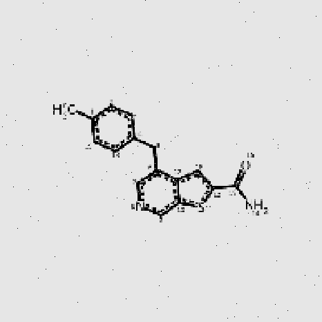 Cc1ccc(Cc2cncc3sc(C(N)=O)cc23)cc1